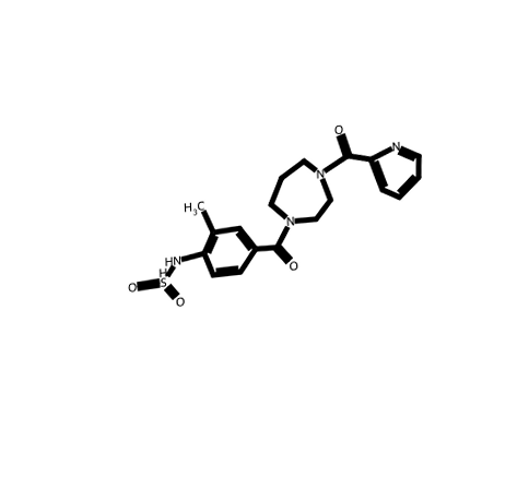 Cc1cc(C(=O)N2CCCN(C(=O)c3ccccn3)CC2)ccc1N[SH](=O)=O